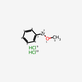 C[O][Zr][c]1ccccc1.Cl.Cl